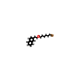 BrCCCCCCOCCc1ccc2ccccc2c1